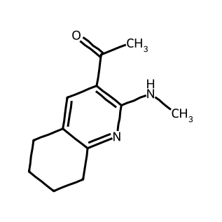 CNc1nc2c(cc1C(C)=O)CCCC2